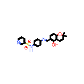 CC1(C)C=Cc2c(ccc(/C=N/c3ccc(NS(=O)(=O)c4cccnc4)cc3)c2O)O1